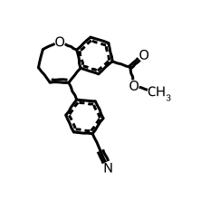 COC(=O)c1ccc2c(c1)C(c1ccc(C#N)cc1)=CCCO2